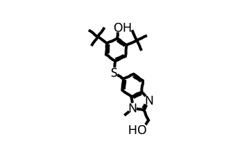 Cn1c(CO)nc2ccc(Sc3cc(C(C)(C)C)c(O)c(C(C)(C)C)c3)cc21